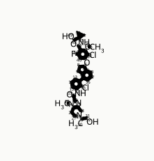 COc1c(Cl)c(OC2CCc3c(-c4cccc(NC(=O)c5nc6c(n5C)CCN(C(C)CO)C6)c4Cl)cccc32)cc(F)c1CNC1(C(=O)O)CC1